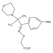 CCOC(=O)CO/N=C(\c1ccc(SC)cc1)C(C)(C)N1CCOCC1